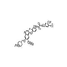 COc1cc2c(Oc3ccc(NC(=O)C(=O)NCc4ccc(Cl)c(C(F)(F)F)c4)cc3F)ccnc2cc1OCC1CCNCC1